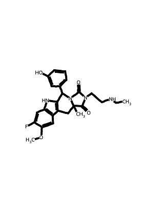 CCNCCN1C(=O)N2C(c3cccc(O)c3)c3[nH]c4cc(F)c(OC)cc4c3CC2(C)C1=O